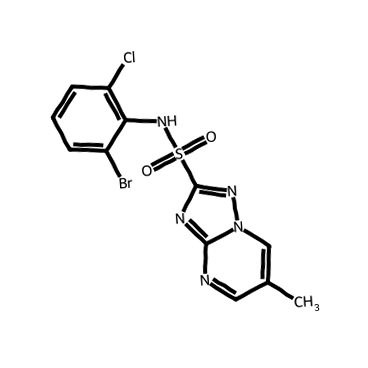 Cc1cnc2nc(S(=O)(=O)Nc3c(Cl)cccc3Br)nn2c1